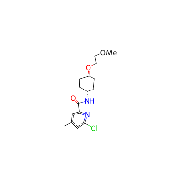 COCCO[C@H]1CC[C@H](NC(=O)c2cc(C)cc(Cl)n2)CC1